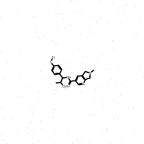 CCSc1ccc(C(NC(=O)c2cnc3c(c2)CN(C)C3)C(C)O)cc1